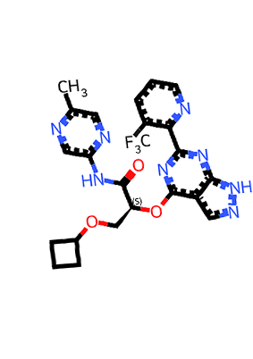 Cc1cnc(NC(=O)[C@H](COC2CCC2)Oc2nc(-c3ncccc3C(F)(F)F)nc3[nH]ncc23)cn1